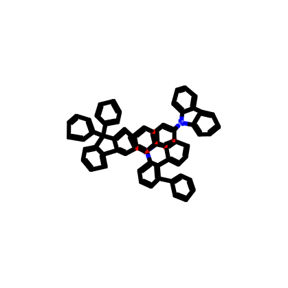 c1ccc(-c2ccccc2-c2c(-c3ccccc3)cccc2N(c2ccc(-n3c4ccccc4c4ccccc43)cc2)c2ccc3c(c2)-c2ccccc2C3(c2ccccc2)c2ccccc2)cc1